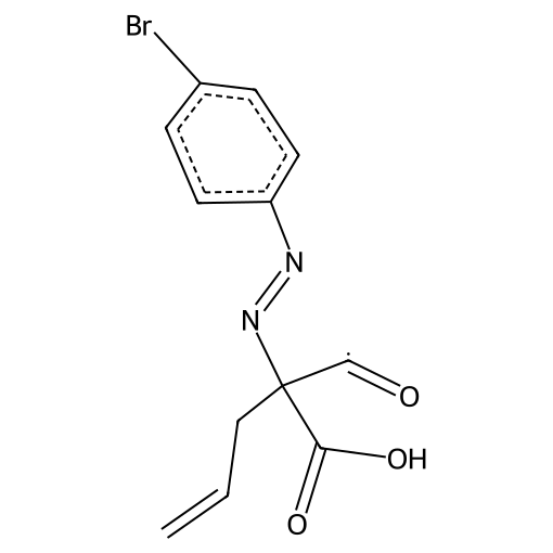 C=CCC([C]=O)(N=Nc1ccc(Br)cc1)C(=O)O